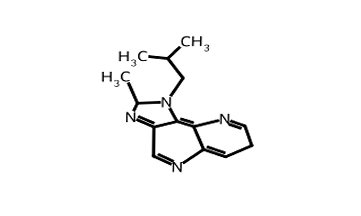 CC(C)CN1c2c3c(ncc2=NC1C)=CCC=N3